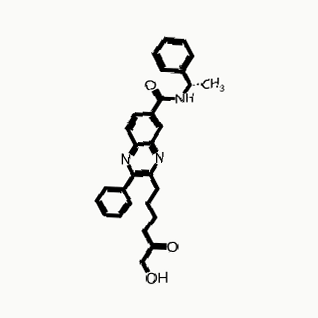 C[C@H](NC(=O)c1ccc2nc(-c3ccccc3)c(CCCCC(=O)CO)nc2c1)c1ccccc1